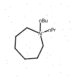 CCCC[N+]1(CCC)CCCCCC1